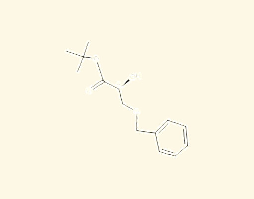 CC(C)(C)OC(=O)[C@@H](O)COCc1ccccc1